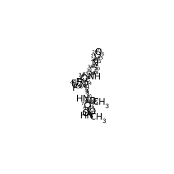 CNS(=O)(=O)c1ccc(NCC#Cc2cc3c(N[C@H]4CC[C@H](N5CC6(CCOCC6)C5)CC4)cccc3n2CC(F)(F)F)c(OC)c1